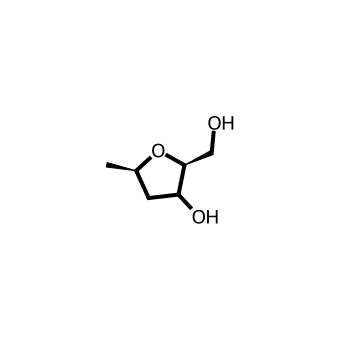 C[C@@H]1CC(O)[C@H](CO)O1